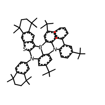 CC(C)(C)c1ccc2c(c1)B1c3c(cc(C(C)(C)C)cc3N(c3ccc4c(c3)C(C)(C)CCC4(C)C)c3sc4cc5c(cc4c31)C(C)(C)CCC5(C)C)N2c1ccc(C(C)(C)C)cc1-c1ccccc1